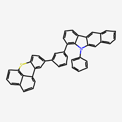 c1ccc(-n2c3cc4ccccc4cc3c3cccc(-c4cccc(-c5ccc6c(c5)-c5cccc7cccc(c57)S6)c4)c32)cc1